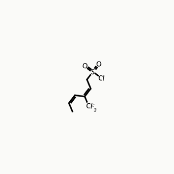 C/C=C\C(=C/CS(=O)(=O)Cl)C(F)(F)F